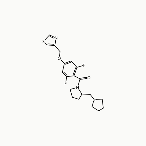 O=C(c1c(F)cc(OCc2cscn2)cc1F)N1CCCC1CN1CCCC1